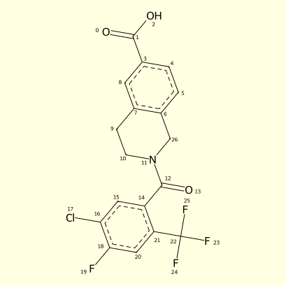 O=C(O)c1ccc2c(c1)CCN(C(=O)c1cc(Cl)c(F)cc1C(F)(F)F)C2